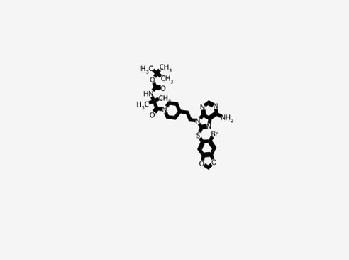 CC(C)(C)OC(=O)NC(C)(C)C(=O)N1CCC(CCn2c(Sc3cc4c(cc3Br)OCO4)nc3c(N)ncnc32)CC1